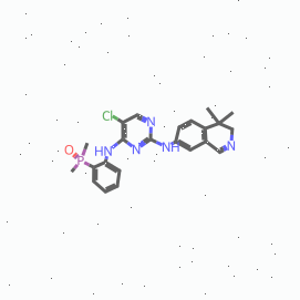 CC1(C)CN=Cc2cc(Nc3ncc(Cl)c(Nc4ccccc4P(C)(C)=O)n3)ccc21